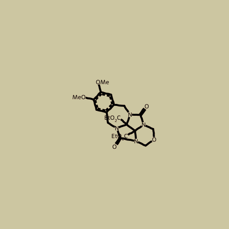 CCOC(=O)C12N3COCN1C(=O)N1Cc4cc(OC)c(OC)cc4CN(C3=O)C12C(=O)OCC